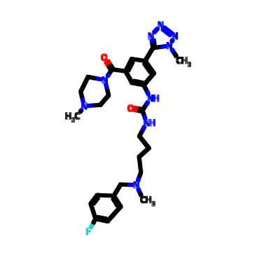 CN1CCN(C(=O)c2cc(NC(=O)NCCCCN(C)Cc3ccc(F)cc3)cc(-c3nnnn3C)c2)CC1